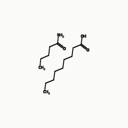 CCCCC(N)=O.CCCCCCCCC(=O)O